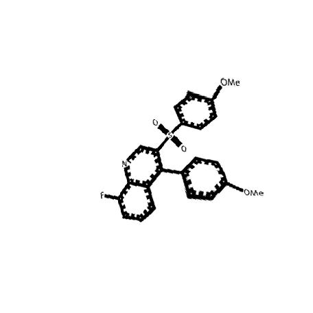 COc1ccc(-c2c(S(=O)(=O)c3ccc(OC)cc3)cnc3c(F)cccc23)cc1